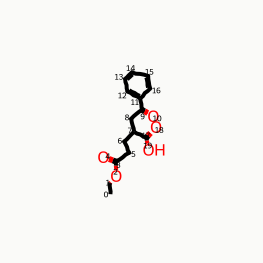 CCOC(=O)CCC(CC(=O)c1ccccc1)C(=O)O